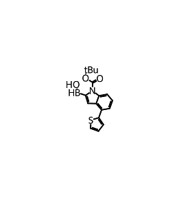 CC(C)(C)OC(=O)n1c(BO)cc2c(-c3cccs3)cccc21